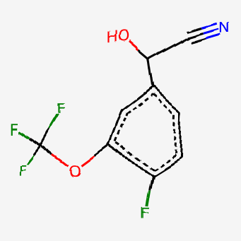 N#CC(O)c1ccc(F)c(OC(F)(F)F)c1